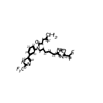 C=C(F)CCC(=O)N(CCCCCc1noc(C(F)F)n1)c1cccc(-c2cnc(C(F)(F)F)nc2)c1